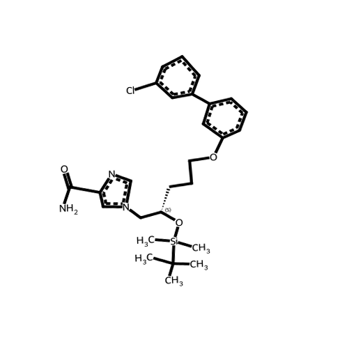 CC(C)(C)[Si](C)(C)O[C@@H](CCCOc1cccc(-c2cccc(Cl)c2)c1)Cn1cnc(C(N)=O)c1